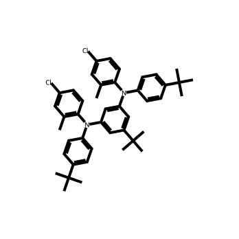 Cc1cc(Cl)ccc1N(c1ccc(C(C)(C)C)cc1)c1cc(N(c2ccc(C(C)(C)C)cc2)c2ccc(Cl)cc2C)cc(C(C)(C)C)c1